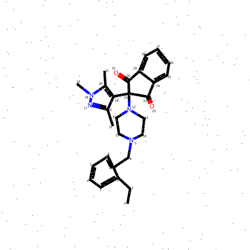 CCc1ccccc1CN1CCN(C2(c3c(C)nn(C)c3C)C(=O)c3ccccc3C2=O)CC1